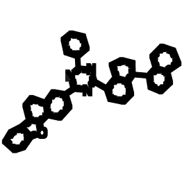 c1ccc(-c2nc(-c3ccc4c(ccc5c6ccccc6oc45)c3)nc(-c3cccc4c(-c5cccc6ccccc56)cccc34)n2)cc1